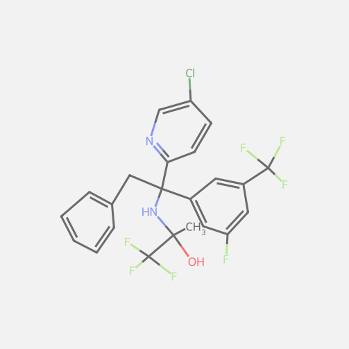 CC(O)(NC(Cc1ccccc1)(c1cc(F)cc(C(F)(F)F)c1)c1ccc(Cl)cn1)C(F)(F)F